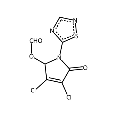 O=COC1C(Cl)=C(Cl)C(=O)N1c1ncns1